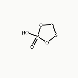 O=P1(O)OSSO1